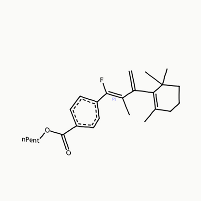 C=C(C1=C(C)CCCC1(C)C)/C(C)=C(\F)c1ccc(C(=O)OCCCCC)cc1